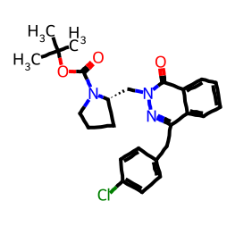 CC(C)(C)OC(=O)N1CCC[C@H]1Cn1nc(Cc2ccc(Cl)cc2)c2ccccc2c1=O